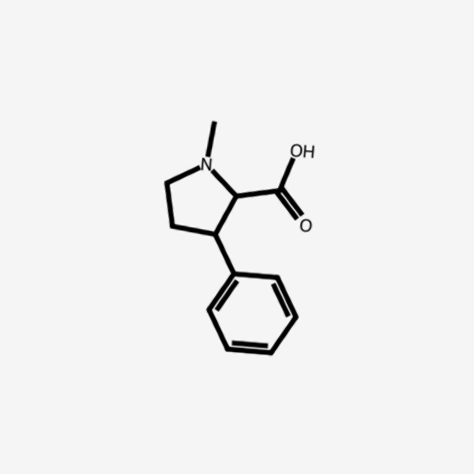 CN1CCC(c2ccccc2)C1C(=O)O